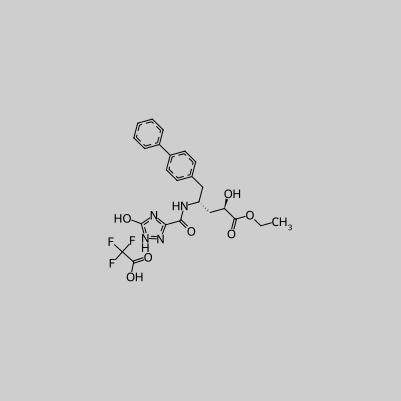 CCOC(=O)[C@H](O)C[C@@H](Cc1ccc(-c2ccccc2)cc1)NC(=O)c1n[nH]c(O)n1.O=C(O)C(F)(F)F